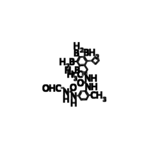 Bc1c(B)c(B)c(C2CCC2)c(C[C@@H](C)NC(=O)Nc2cc(NC(=O)NCC=O)ccc2C)c1B